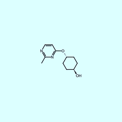 Cc1nccc(O[C@H]2CC[C@H](O)CC2)n1